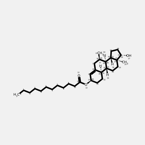 CCCCCCCCCCCC(=O)O[C@H]1C=C2C[C@@H](C)[C@@H]3[C@H](CC[C@]4(C)[C@@H](O)CC[C@@H]34)[C@H]2CC1